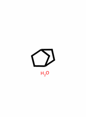 C1CC2CCC1C2.O